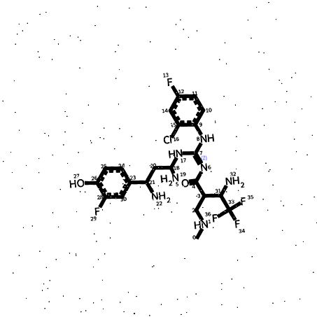 CNCC(C(=O)/N=C(/Nc1ccc(F)cc1Cl)NC(N)CC(N)c1ccc(O)c(F)c1)C(N)C(F)(F)F